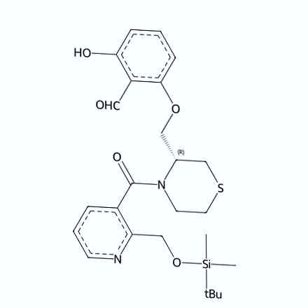 CC(C)(C)[Si](C)(C)OCc1ncccc1C(=O)N1CCSC[C@H]1COc1cccc(O)c1C=O